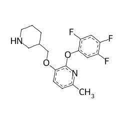 Cc1ccc(OCC2CCCNC2)c(Oc2cc(F)c(F)cc2F)n1